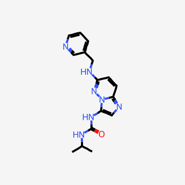 CC(C)NC(=O)Nc1cnc2ccc(NCc3cccnc3)nn12